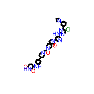 O=C1CCC(Nc2ccc(C3CCN(CC(=O)N4CCC5(CC4)CCN(c4cncc(Nc6ncc(Cl)c(-c7cccc(N8CCC8)c7)n6)c4)C5=O)CC3)cc2)C(=O)N1